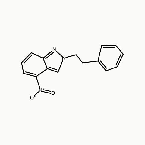 O=[N+]([O-])c1cccc2nn(CCc3ccccc3)cc12